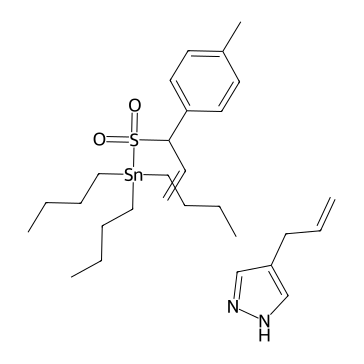 C=CC(c1ccc(C)cc1)[S](=O)(=O)[Sn]([CH2]CCC)([CH2]CCC)[CH2]CCC.C=CCc1cn[nH]c1